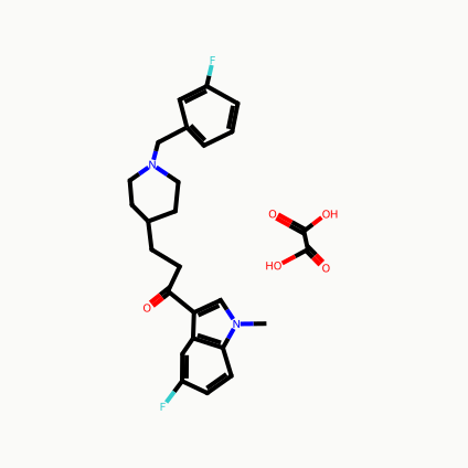 Cn1cc(C(=O)CCC2CCN(Cc3cccc(F)c3)CC2)c2cc(F)ccc21.O=C(O)C(=O)O